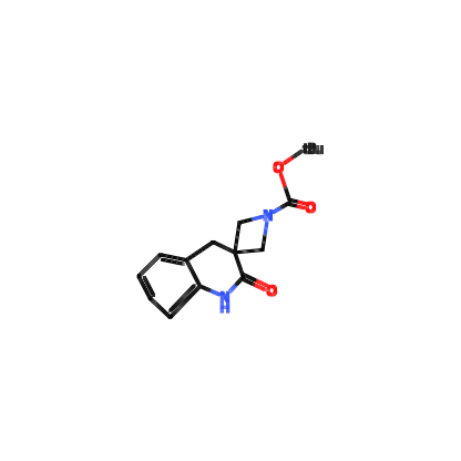 CC(C)(C)OC(=O)N1CC2(Cc3ccccc3NC2=O)C1